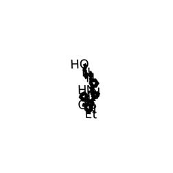 CCc1cc(=O)n2c(-c3ccccc3)c(-c3ccnc(Nc4cccc(N5CCN(CCO)CC5)c4)n3)sc2n1